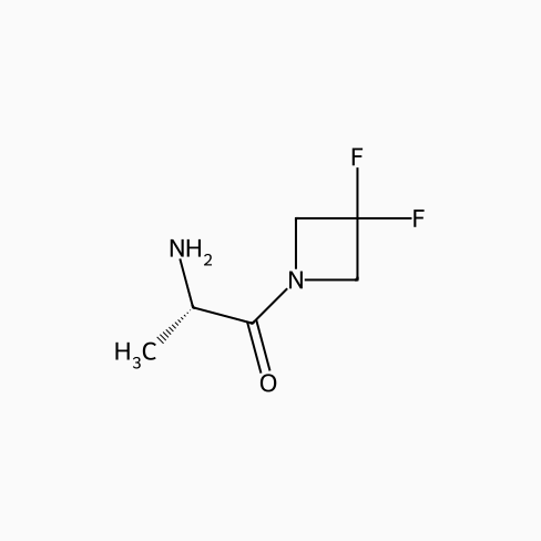 C[C@H](N)C(=O)N1CC(F)(F)C1